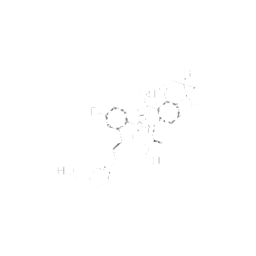 COC(=O)N(c1ccc2c(c1C(=O)O)OC[C@@H]1C[C@H]21)S(=O)(=O)c1ccc(F)cc1C=CCN1CC[C@H](CO)C1